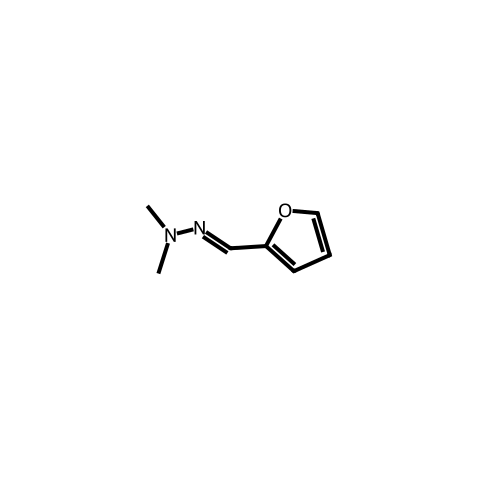 CN(C)/N=C/c1ccco1